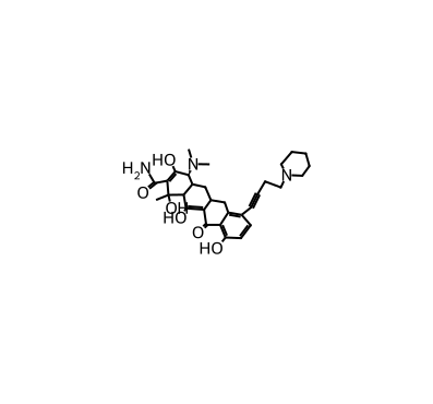 CN(C)[C@@H]1C(O)=C(C(N)=O)C(C)(O)C2C(O)=C3C(=O)c4c(O)ccc(C#CCCN5CCCCC5)c4CC3CC21